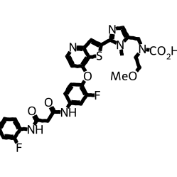 COCCN(Cc1cnc(-c2cc3nccc(Oc4ccc(NC(=O)CC(=O)Nc5ccccc5F)cc4F)c3s2)n1C)C(=O)O